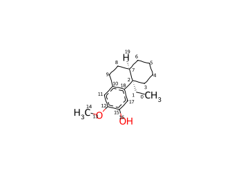 CC[C@@]12CCCC[C@@H]1CCc1cc(OC)c(O)cc12